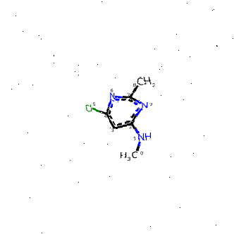 CNc1cc(Cl)nc(C)n1